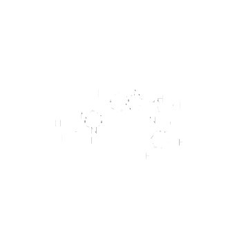 Cc1nc2cc(F)c(-c3cnc(C(C)(C)O)nc3)cn2c1CN1C(=O)[C@H](C)Oc2c(F)cc(F)cc21